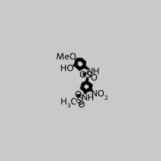 COc1ccc(NS(=O)(=O)c2ccc(NS(C)(=O)=O)c([N+](=O)[O-])c2)cc1O